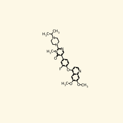 COc1cc2nccc(Oc3ccc(-c4cnc(N5CCN(C(C)C)CC5)n(C)c4=O)cc3F)c2cc1OC